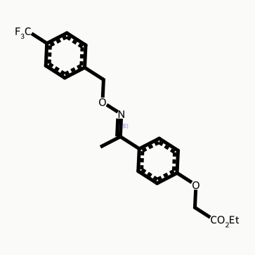 CCOC(=O)COc1ccc(/C(C)=N/OCc2ccc(C(F)(F)F)cc2)cc1